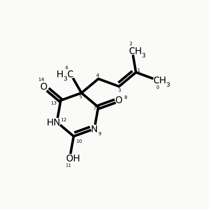 CC(C)=CCC1(C)C(=O)N=C(O)NC1=O